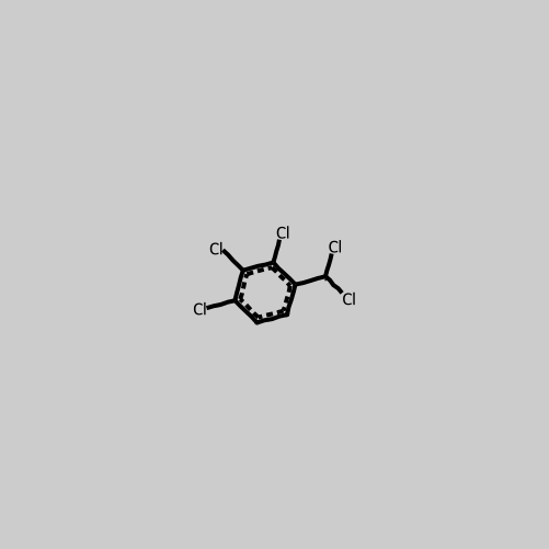 Cl[C](Cl)c1ccc(Cl)c(Cl)c1Cl